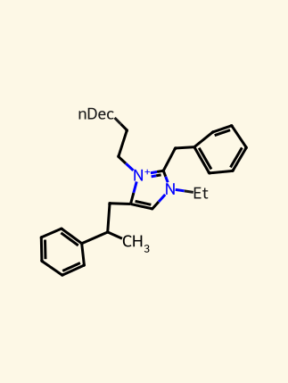 CCCCCCCCCCCC[n+]1c(CC(C)c2ccccc2)cn(CC)c1Cc1ccccc1